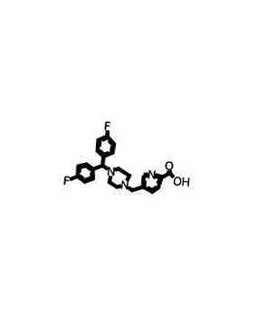 O=C(O)c1ccc(CN2CCN(C(c3ccc(F)cc3)c3ccc(F)cc3)CC2)cn1